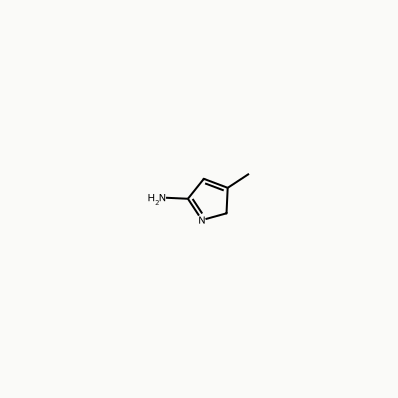 CC1=CC(N)=NC1